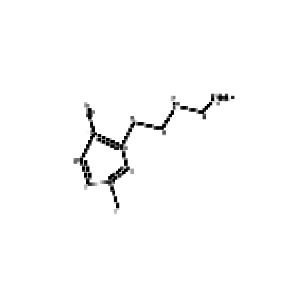 COCOCCc1cc(C)ccc1Br